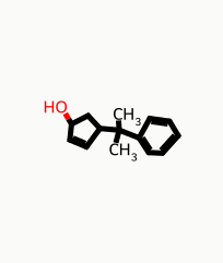 CC(C)(c1ccccc1)C1C=CC(O)C1